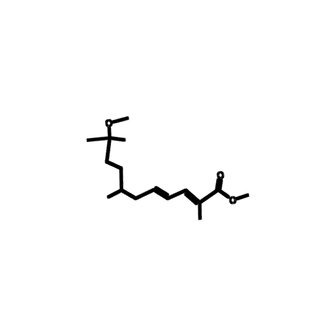 COC(=O)/C(C)=C/C=C/CC(C)CCC(C)(C)OC